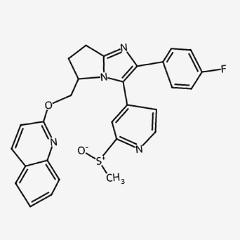 C[S+]([O-])c1cc(-c2c(-c3ccc(F)cc3)nc3n2C(COc2ccc4ccccc4n2)CC3)ccn1